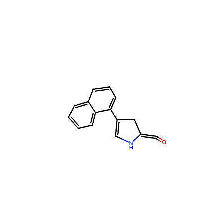 O=C=C1CC(c2cccc3ccccc23)=CN1